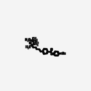 CCCCc1ccc(OC(=O)c2ccc(CCCCC[Si](C)(C)O[Si](C)(C)C)cc2)cc1